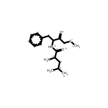 CSCC(=O)C(Cc1ccccc1)NC(=O)C(N)CC(C)C